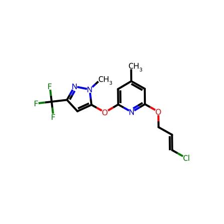 Cc1cc(OC/C=C/Cl)nc(Oc2cc(C(F)(F)F)nn2C)c1